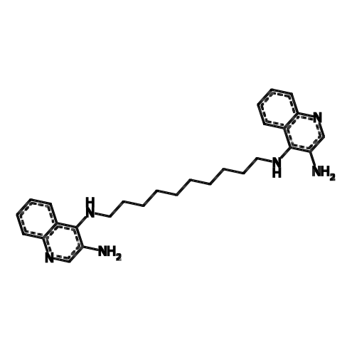 Nc1cnc2ccccc2c1NCCCCCCCCCCNc1c(N)cnc2ccccc12